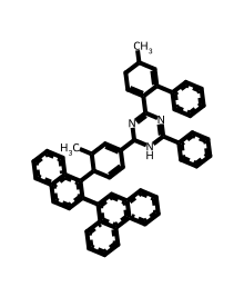 CC1C=C(c2ccccc2)C(C2=NC(C3=CC(C)C(c4c(-c5cc6ccccc6c6ccccc56)ccc5ccccc45)C=C3)NC(c3ccccc3)=N2)=CC1